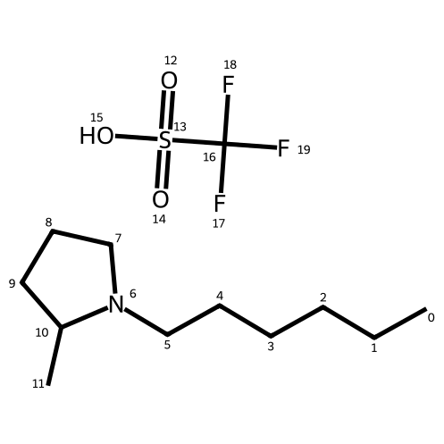 CCCCCCN1CCCC1C.O=S(=O)(O)C(F)(F)F